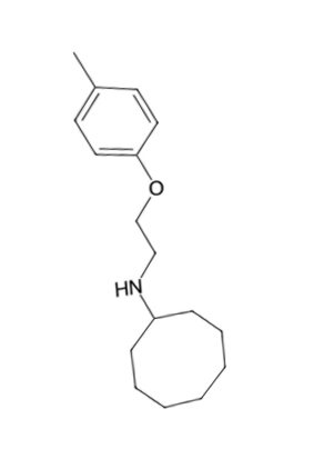 Cc1ccc(OCCNC2CCCCCCC2)cc1